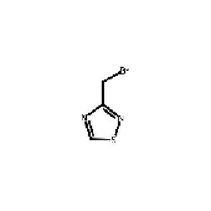 BrCc1ncsn1